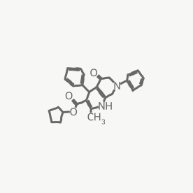 CC1=C(C(=O)OC2CCCC2)C(c2ccccc2)C2=C(CN(c3ccccc3)CC2=O)N1